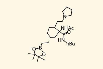 CCCCNC(=O)C1(NC(C)=O)C[C@H](CCB2OC(C)(C)C(C)(C)O2)CCC1CCN1CCCC1